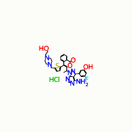 CC(c1oc(=O)c2ccccc2c1-c1ccc(CN2CCN(CCO)CC2)s1)n1nc(-c2cc(O)cc(F)c2)c2c(N)ncnc21.Cl